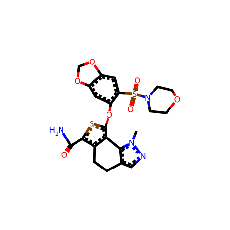 Cn1ncc2c1-c1c(Oc3cc4c(cc3S(=O)(=O)N3CCOCC3)OCO4)sc(C(N)=O)c1CC2